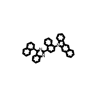 c1ccc2cc3c(cc2c1)c1ccccc1n3-c1ccc(-c2nc(-c3cccc4ccccc34)c3ccccc3n2)c2ccccc12